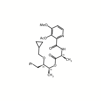 COc1ccnc(C(=O)N[C@@H](C)C(=O)O[C@@H](C)[C@@H](CC(C)C)OCC2CC2)c1OC(C)=O